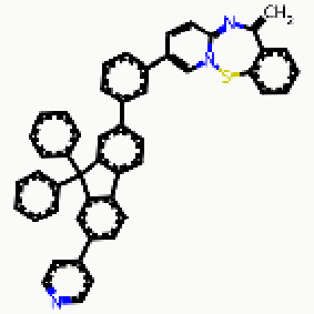 C=C1N=C2C=CC(c3cccc(-c4ccc5c(c4)C(c4ccccc4)(c4ccccc4)c4cc(-c6ccncc6)ccc4-5)c3)=CN2Sc2ccccc21